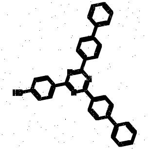 Oc1ccc(-c2nc(-c3ccc(-c4ccccc4)cc3)nc(-c3ccc(-c4ccccc4)cc3)n2)cc1